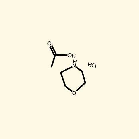 C1COCCN1.CC(=O)O.Cl